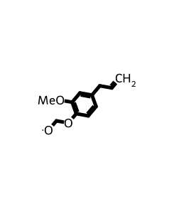 C=CCc1ccc(OC[O])c(OC)c1